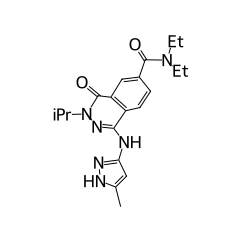 CCN(CC)C(=O)c1ccc2c(Nc3cc(C)[nH]n3)nn(C(C)C)c(=O)c2c1